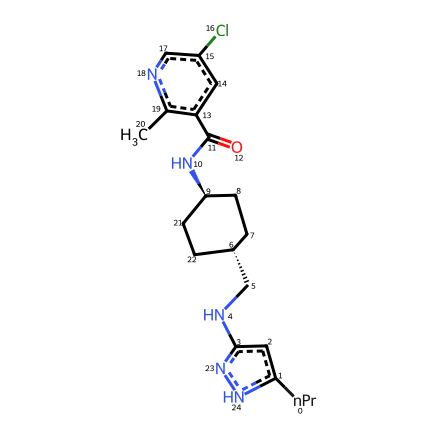 CCCc1cc(NC[C@H]2CC[C@H](NC(=O)c3cc(Cl)cnc3C)CC2)n[nH]1